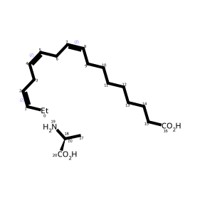 CC/C=C\C/C=C\C/C=C\CCCCCCCC(=O)O.C[C@H](N)C(=O)O